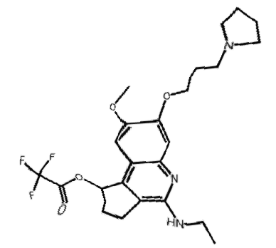 CCNc1nc2cc(OCCCN3CCCC3)c(OC)cc2c2c1CCC2OC(=O)C(F)(F)F